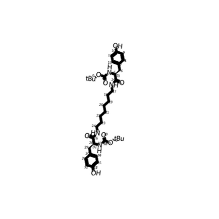 CC(C)(C)OC(=O)N[C@@H](Cc1ccc(O)cc1)C(=O)NCCCCCCCCNC(=O)[C@H](Cc1ccc(O)cc1)NC(=O)OC(C)(C)C